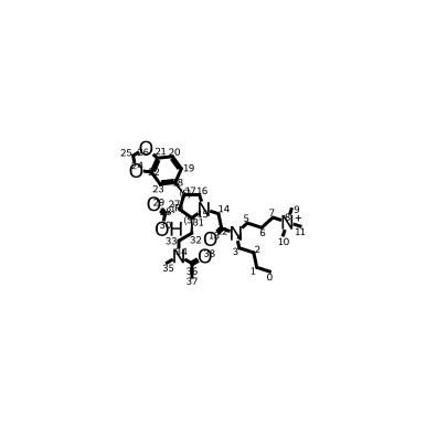 CCCCN(CCC[N+](C)(C)C)C(=O)CN1C[C@H](c2ccc3c(c2)OCO3)[C@@H](C(=O)O)[C@@H]1CCN(C)C(C)=O